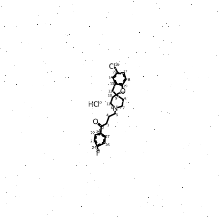 Cl.O=C(CCCN1CCC2(CC1)Cc1cc(Cl)ccc1O2)c1ccc(F)cc1